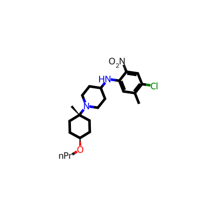 CCCO[C@H]1CC[C@](C)(N2CCC(Nc3cc(C)c(Cl)cc3[N+](=O)[O-])CC2)CC1